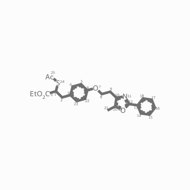 CCOC(=O)C(Cc1ccc(OCCc2nc(-c3ccccc3)oc2C)cc1)SC(C)=O